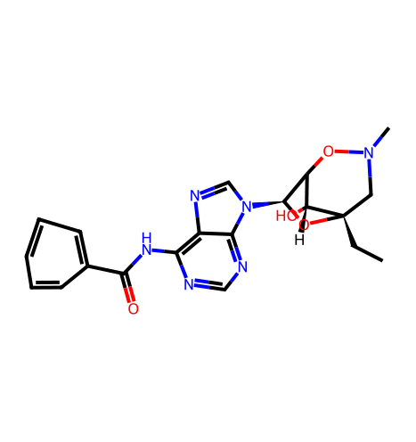 CC[C@@]12CN(C)OC([C@H](n3cnc4c(NC(=O)c5ccccc5)ncnc43)O1)[C@H]2O